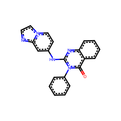 O=c1c2ccccc2nc(Nc2ccn3ccnc3c2)n1-c1ccccc1